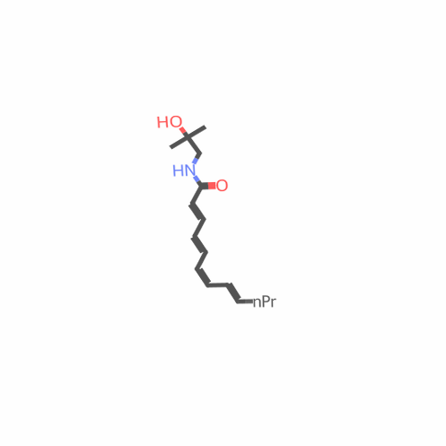 CCC/C=C/C=C\C=C\C=C\C(=O)NCC(C)(C)O